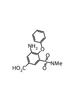 CNS(=O)(=O)c1cc(C(=O)O)cc(N)c1Oc1ccccc1